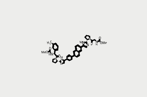 COC(=O)NCC(=O)N1CCC[C@H]1c1ncc(-c2ccc3cc(-c4ccc(-c5cnc([C@@H]6CCCN6C(=O)[C@H](NC(=O)OC)c6cccc(C)c6)[nH]5)cc4)ccc3c2)[nH]1